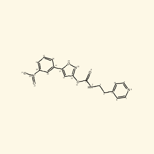 O=C(NCCc1ccncc1)Oc1cc(-c2cccc([N+](=O)[O-])c2)on1